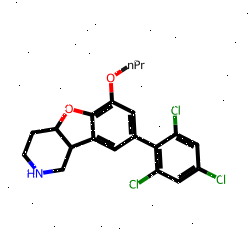 CCCOc1cc(-c2c(Cl)cc(Cl)cc2Cl)cc2c1OC1CCNCC21